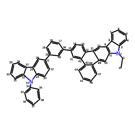 CCn1c2ccccc2c2cc3c4ccc(-c5cccc(-c6ccc7c(c6)c6ccccc6n7-c6ccccc6)c5)cc4c4ccccc4c3cc21